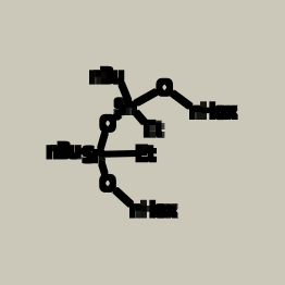 CCCCCC[O][Sn]([CH2]C)([CH2]CCC)[O][Sn]([CH2]C)([CH2]CCC)[O]CCCCCC